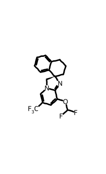 FC(F)OC1=CC(C(F)(F)F)=CN2C[C@@]3(CCCc4ccccc43)N=C12